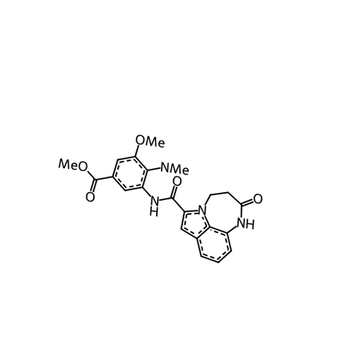 CNc1c(NC(=O)c2cc3cccc4c3n2CCC(=O)N4)cc(C(=O)OC)cc1OC